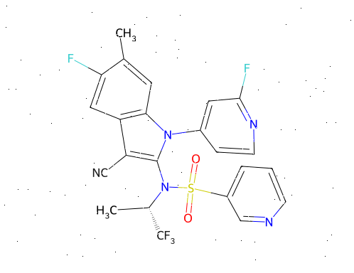 Cc1cc2c(cc1F)c(C#N)c(N([C@@H](C)C(F)(F)F)S(=O)(=O)c1cccnc1)n2-c1ccnc(F)c1